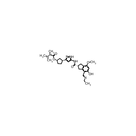 CC/N=C/c1c(O)cc(OC)c2c1C[C@H](C(=O)Nc1cc([C@H]3CC[C@@H](OC(=O)N(C)N(C)C)C3)n[nH]1)C2